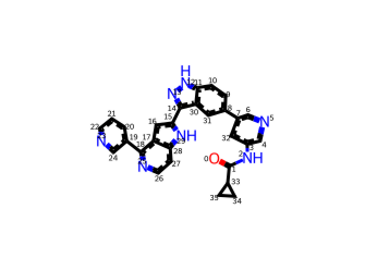 O=C(Nc1cncc(-c2ccc3[nH]nc(-c4cc5c(-c6cccnc6)nccc5[nH]4)c3c2)c1)C1CC1